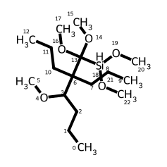 CCCC(OC)C(CCC)(CCC)C(OC)(OC)[SiH](OC)OC